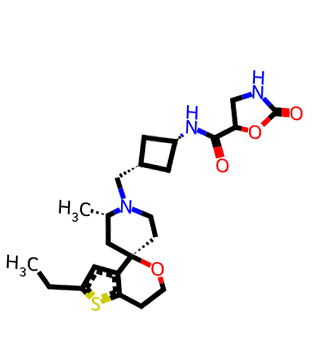 CCc1cc2c(s1)CCO[C@@]21CCN(C[C@H]2C[C@@H](NC(=O)C3CNC(=O)O3)C2)[C@@H](C)C1